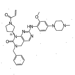 C=CC(=O)N1CC[C@H](N2C(=O)N(Cc3ccccc3)Cc3cnc(Nc4ccc(N5CCN(C)CC5)cc4OC)nc32)C1